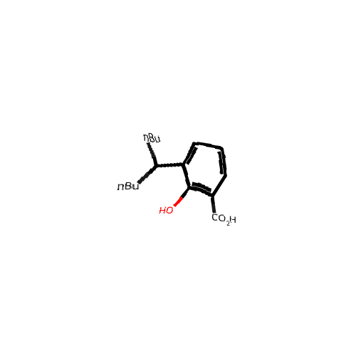 CCCCC(CCCC)c1cccc(C(=O)O)c1O